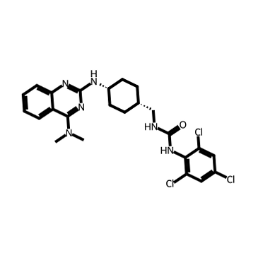 CN(C)c1nc(N[C@H]2CC[C@@H](CNC(=O)Nc3c(Cl)cc(Cl)cc3Cl)CC2)nc2ccccc12